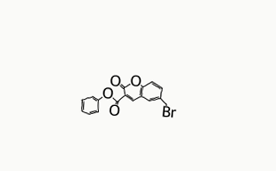 O=C(Oc1ccccc1)c1cc2cc(CBr)ccc2oc1=O